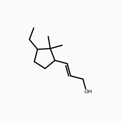 CCC1CCC(C=CCO)C1(C)C